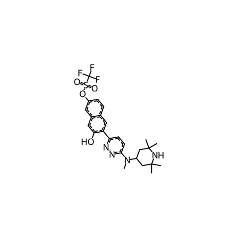 CN(c1ccc(-c2cc3ccc(OS(=O)(=O)C(F)(F)F)cc3cc2O)nn1)C1CC(C)(C)NC(C)(C)C1